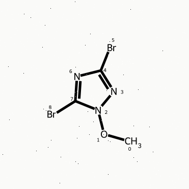 COn1nc(Br)nc1Br